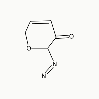 [N]=NC1OCC=CC1=O